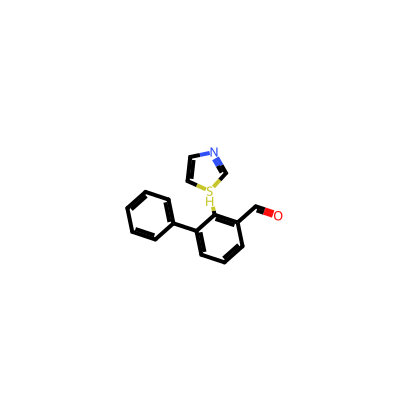 O=Cc1cccc(-c2ccccc2)c1[SH]1C=CN=C1